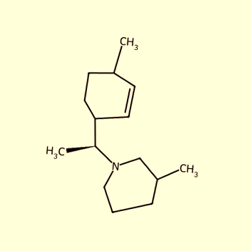 CC1C=CC([C@H](C)N2CCCC(C)C2)CC1